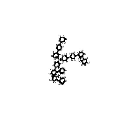 c1ccc(-c2ccc(-c3cccc(N(c4ccc(-c5ccc(-c6cccc7c6oc6ccccc67)cc5)cc4)c4ccc(-c5ccccc5-c5ccccc5-n5c6ccccc6c6ccccc65)cc4)c3)cc2)cc1